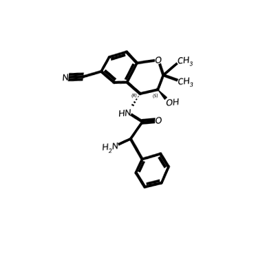 CC1(C)Oc2ccc(C#N)cc2[C@@H](NC(=O)C(N)c2ccccc2)[C@@H]1O